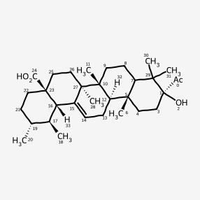 CC(=O)[C@]1(O)CC[C@@]2(C)C(CC[C@]3(C)[C@@H]2CC=C2[C@@H]4[C@@H](C)[C@H](C)CC[C@]4(C(=O)O)CC[C@]23C)C1(C)C